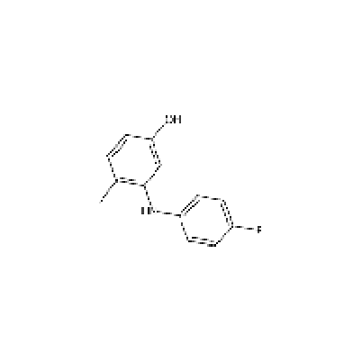 Cc1ccc(O)cc1Nc1ccc(F)cc1